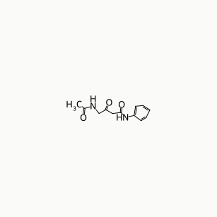 CC(=O)NCC(=O)CC(=O)Nc1ccccc1